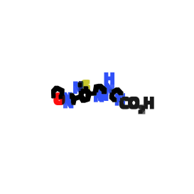 O=C(O)N1CCC(Nc2ccc(-c3ccc(-c4cnn(C5CCCCO5)c4)c4ncsc34)nn2)CC1